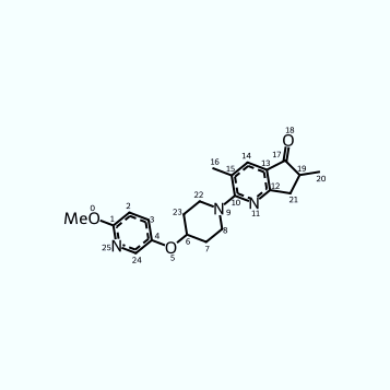 COc1ccc(OC2CCN(c3nc4c(cc3C)C(=O)C(C)C4)CC2)cn1